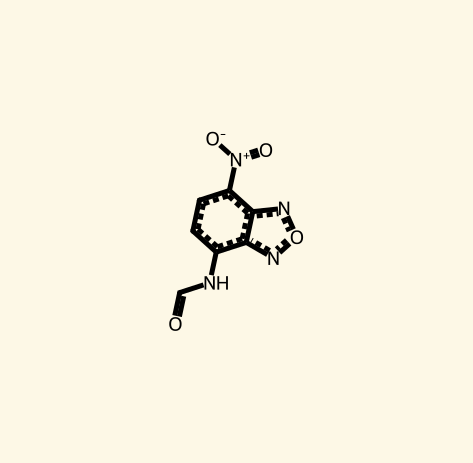 O=CNc1ccc([N+](=O)[O-])c2nonc12